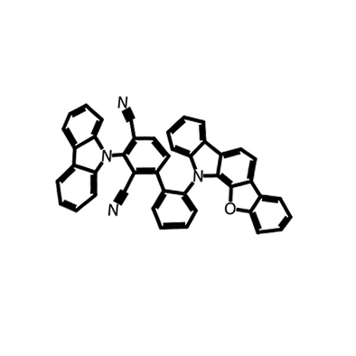 N#Cc1ccc(-c2ccccc2-n2c3ccccc3c3ccc4c5ccccc5oc4c32)c(C#N)c1-n1c2ccccc2c2ccccc21